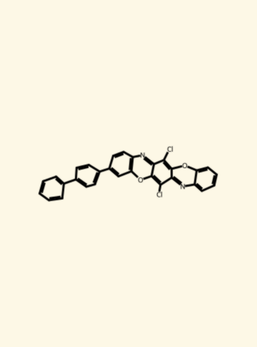 Clc1c2c(c(Cl)c3c1=Nc1ccccc1O3)=Nc1ccc(-c3ccc(-c4ccccc4)cc3)cc1O2